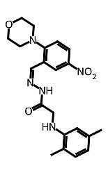 Cc1ccc(C)c(NCC(=O)N/N=C\c2cc([N+](=O)[O-])ccc2N2CCOCC2)c1